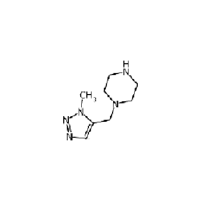 Cn1nn[c]c1CN1CCNCC1